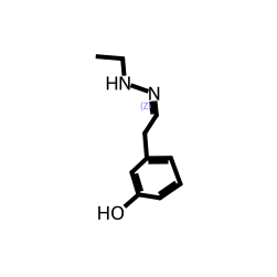 CCN/N=C\Cc1cccc(O)c1